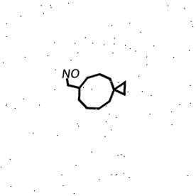 O=NCC1CCCCC2(CCC1)CC2